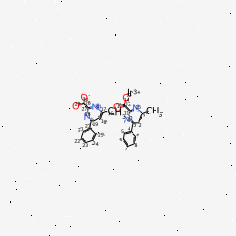 Cc1cc(-c2ccccc2)nc(C(=O)[O-])n1.Cc1cc(-c2ccccc2)nc(C(=O)[O-])n1.[Ir+3]